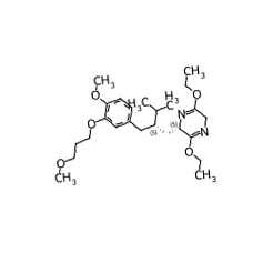 CCOC1=N[C@@H](C[C@H](Cc2ccc(OC)c(OCCCOC)c2)C(C)C)C(OCC)=NC1